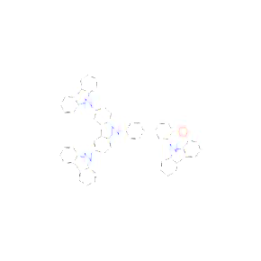 c1ccc2c(c1)c1ccccc1n2-c1ccc2c(c1)c1cc(-n3c4ccccc4c4ccccc43)ccc1n2-c1ccc(-c2ccc3c(c2)-n2c4ccccc4c4cccc(c42)O3)cc1